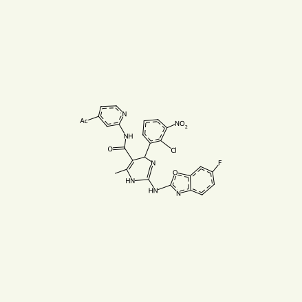 CC(=O)c1ccnc(NC(=O)C2=C(C)NC(Nc3nc4ccc(F)cc4o3)=NC2c2cccc([N+](=O)[O-])c2Cl)c1